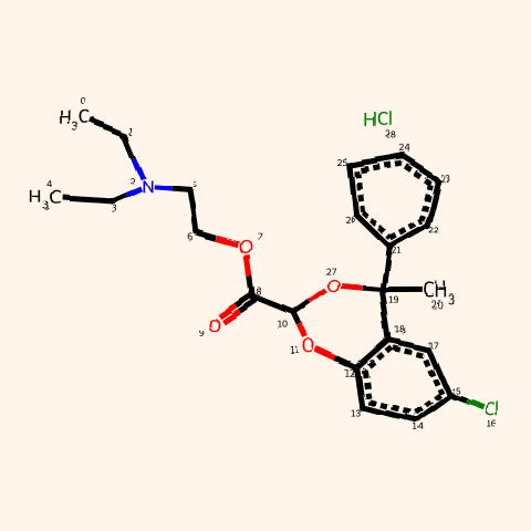 CCN(CC)CCOC(=O)C1Oc2ccc(Cl)cc2C(C)(c2ccccc2)O1.Cl